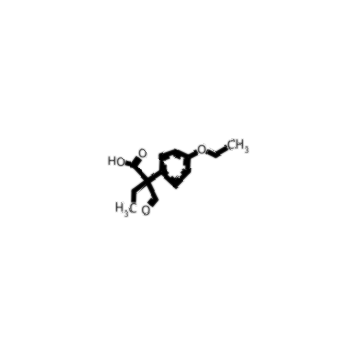 CCOc1ccc(C(C=O)(CC)C(=O)O)cc1